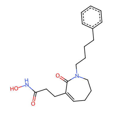 O=C(CCC1=CCCCN(CCCCc2ccccc2)C1=O)NO